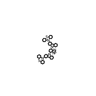 c1ccc2c(c1)Sc1ccccc1N2c1ccc2c(c1)c1ccccc1n2-c1ccc(-n2c3ccccc3c3cc(N4c5ccccc5Sc5ccccc54)ccc32)c2nsnc12